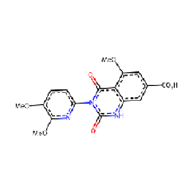 COc1ccc(-n2c(=O)[nH]c3cc(C(=O)O)cc(OC)c3c2=O)nc1OC